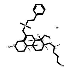 CC(C)CCC[C@@H](C)[C@H]1CC[C@H]2[C@@H]3CC(C[N+](C)(C)CCc4ccccc4)=C4C[C@@H](O)CC[C@]4(C)[C@H]3CC[C@]12C.[Br-]